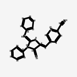 N#Cc1ccc(/C=C2\S/C(=N\c3ccccc3)N(c3ccccc3)C2=O)cn1